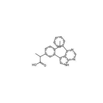 COc1ccc(C(C)C(=O)O)cc1-c1c[nH]c2ncnc(-c3ccccc3)c12